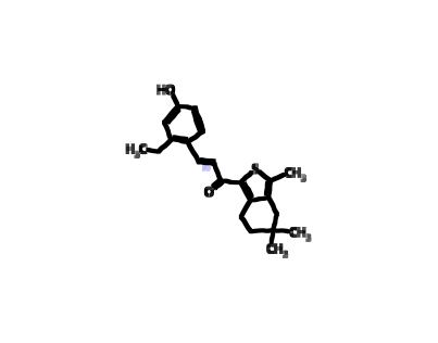 CCc1cc(O)ccc1/C=C/C(=O)c1sc(C)c2c1CCC(C)(C)C2